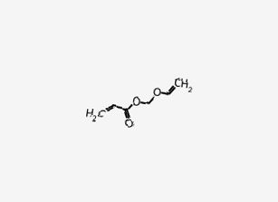 C=COCOC(=O)C=C